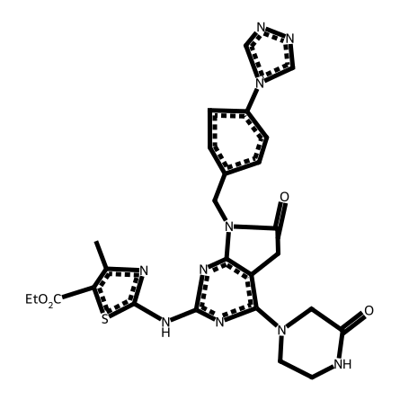 CCOC(=O)c1sc(Nc2nc(N3CCNC(=O)C3)c3c(n2)N(Cc2ccc(-n4cnnc4)cc2)C(=O)C3)nc1C